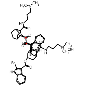 CN(C)CCCNC(=O)C1C2CCC(C(OC(=O)c3c(Br)[nH]c4ccccc34)C2)C1C(=O)NC(=O)C1C2CCC(CC2OC(=O)c2c(Br)[nH]c3ccccc23)C1C(=O)NCCCN(C)C.Cl